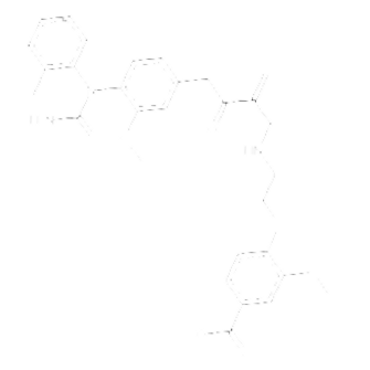 C=C(CNCCOc1ccc(C(=O)O)cc1OC)C(=O)Cc1ccc(N(C(N)=O)c2ccccc2C)c(OC)c1